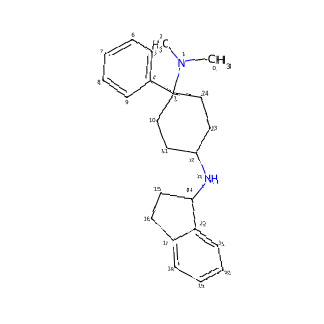 CN(C)C1(c2ccccc2)CCC(NC2CCc3ccccc32)CC1